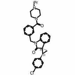 CC(C)N1CCN(C(=O)c2cccc(CN3C(=O)[C@@]4(C[C@H]4c4ccc(Cl)cc4)c4ccccc43)c2)CC1